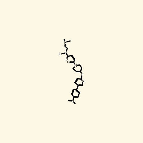 CCN(CCN(C)C)C(=O)/C=C\C(=O)N1CCC(Oc2ccc(-c3ccc(N(C)C)cc3)cn2)CC1